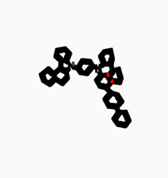 c1ccc(-c2ccc(-c3ccc(N(c4ccc(-n5c6ccccc6c6c7ccccc7ccc65)cc4)c4ccccc4-c4ccccc4)cc3)cc2)cc1